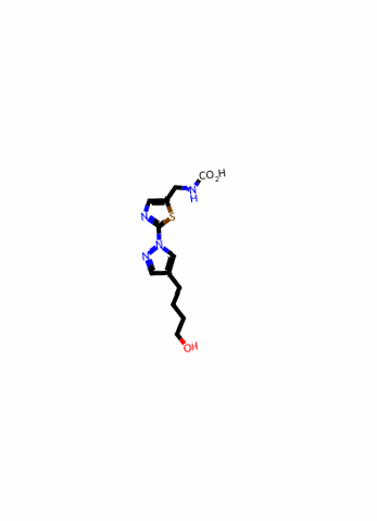 O=C(O)NCc1cnc(-n2cc(CCCCO)cn2)s1